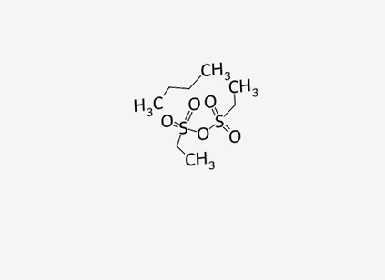 CCCC.CCS(=O)(=O)OS(=O)(=O)CC